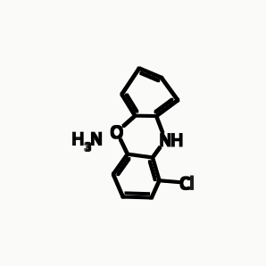 Clc1cccc2c1Nc1ccccc1O2.N